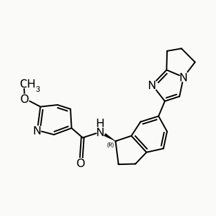 COc1ccc(C(=O)N[C@@H]2CCc3ccc(-c4cn5c(n4)CCC5)cc32)cn1